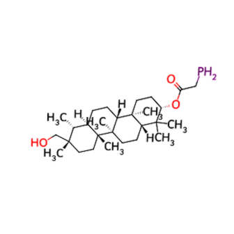 C[C@@H]1[C@H]2CC[C@@H]3[C@@]4(C)CC[C@H](OC(=O)CP)C(C)(C)[C@@H]4CC[C@@]3(C)[C@]2(C)CC[C@]1(C)CO